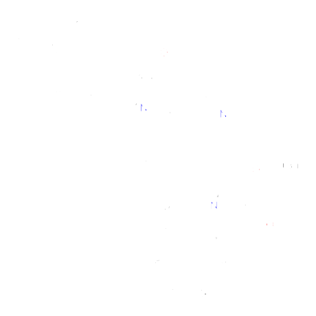 CC(C)(C)OC(=O)n1c(-c2cncc3c2ccn3C(=O)c2ccc(F)cc2)cc2ccccc21